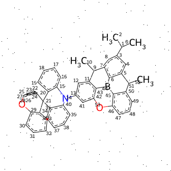 CC(C)c1cc2c3c(c1)C(C)c1cc(N4c5ccccc5C5(c6ccccc6Oc6ccccc65)c5ccccc54)cc4c1B3c1c(cccc1C2C)O4